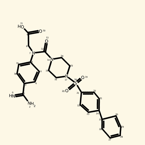 N=C(N)c1ccc(N(CC(=O)O)C(=O)N2CCN(S(=O)(=O)c3ccc(-c4ccccc4)cc3)CC2)cc1